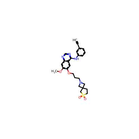 C#Cc1cccc(Nc2ncnc3cc(OC)c(OCCCN4CC5(CCS(=O)(=O)C5)C4)cc23)c1